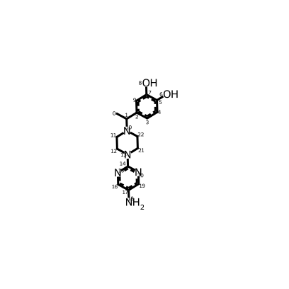 CC(c1ccc(O)c(O)c1)N1CCN(c2ncc(N)cn2)CC1